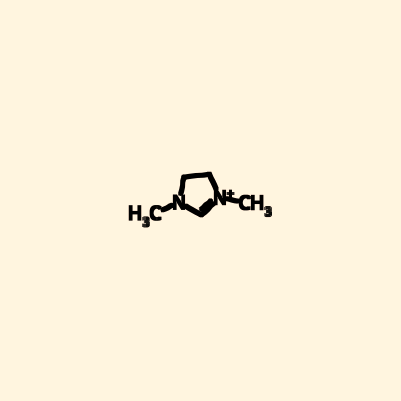 CN1C=[N+](C)CC1